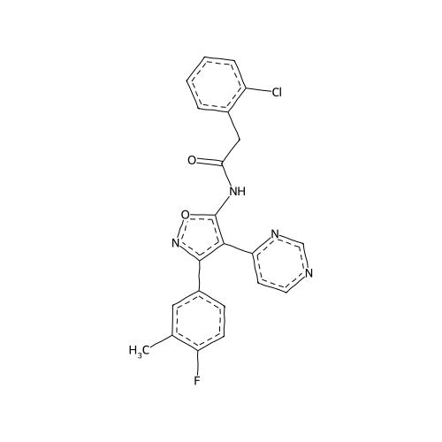 Cc1cc(-c2noc(NC(=O)Cc3ccccc3Cl)c2-c2ccncn2)ccc1F